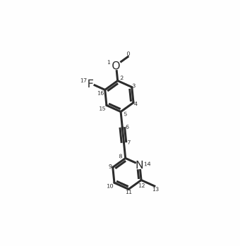 COc1ccc(C#Cc2cccc(C)n2)cc1F